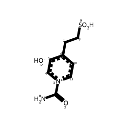 NC(=O)[n+]1ccc(CCS(=O)(=O)O)cc1.[OH-]